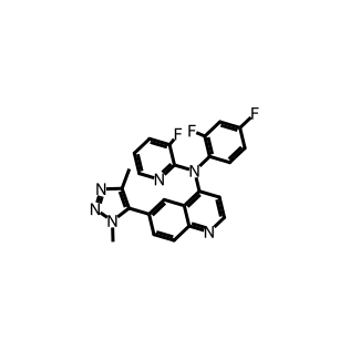 Cc1nnn(C)c1-c1ccc2nccc(N(c3ccc(F)cc3F)c3ncccc3F)c2c1